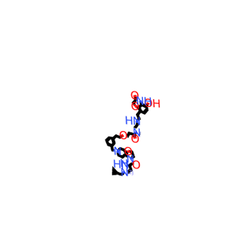 CN(CCNCCc1ccc(O)c2c1OCC(=O)N2)C(=O)CCOCCc1cccc(CN2CCC3(CC2)CN(C(=O)C(=N)/C=C\NCC2CC2)CCO3)c1